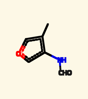 Cc1cocc1NC=O